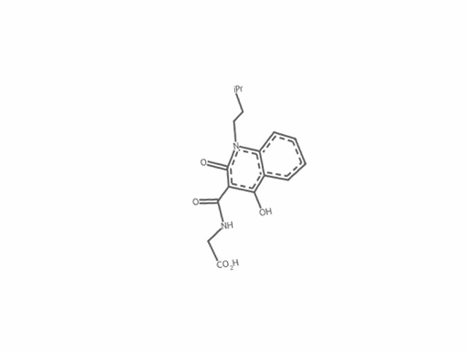 CC(C)CCn1c(=O)c(C(=O)NCC(=O)O)c(O)c2ccccc21